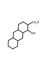 O=C(O)C1CCC2CC3CCCCC3CC2C1O